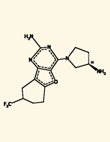 Nc1nc(N2CC[C@@H](N)C2)c2oc3c(c2n1)CC(C(F)(F)F)CC3